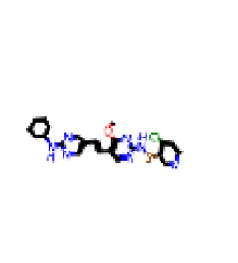 COc1nc(NSc2cnccc2Cl)ncc1/C=C/c1cnc(NC2CCCCC2)nc1